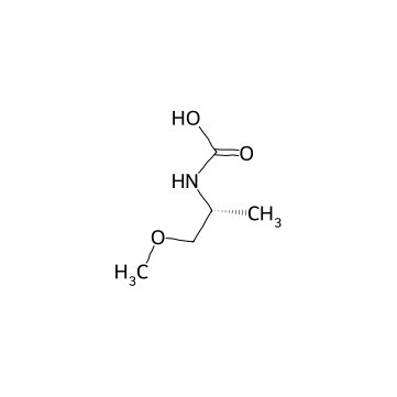 COC[C@@H](C)NC(=O)O